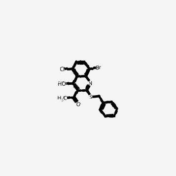 CC(=O)c1c(SCc2ccccc2)nc2c(Br)ccc(Cl)c2c1O